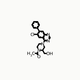 CC(=O)N1CCN(c2ncnc3cc(-c4ccccc4)c(Cl)cc23)CC1CO